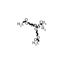 C=C(C)C(=O)O.C=CC(=O)OCCCCOC(=O)OCCCCOC(=O)C=C